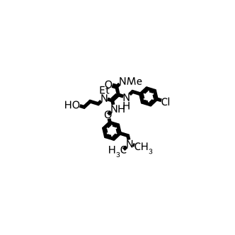 CCN(CCCO)/C(NOc1cccc(CN(C)C)c1)=C(/NCc1ccc(Cl)cc1)C(=O)NC